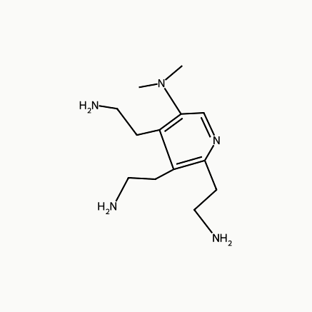 CN(C)c1cnc(CCN)c(CCN)c1CCN